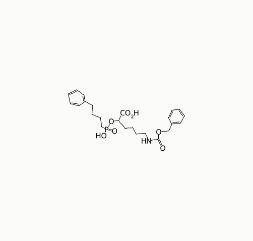 O=C(NCCCCC(OP(=O)(O)CCCCc1ccccc1)C(=O)O)OCc1ccccc1